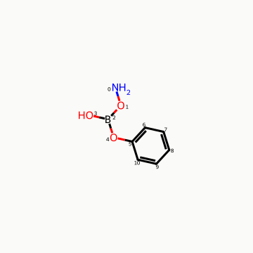 NOB(O)Oc1ccccc1